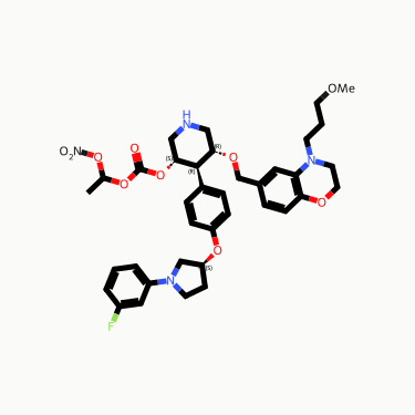 COCCCN1CCOc2ccc(CO[C@H]3CNC[C@@H](OC(=O)OC(C)O[N+](=O)[O-])[C@@H]3c3ccc(O[C@H]4CCN(c5cccc(F)c5)C4)cc3)cc21